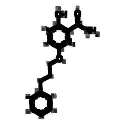 NC(=O)c1nc(OCCCc2ccccc2)cnc1O